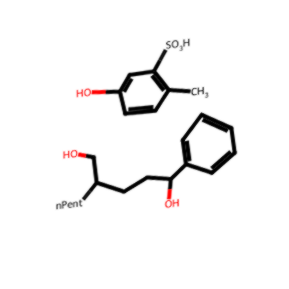 CCCCCC(CO)CCC(O)c1ccccc1.Cc1ccc(O)cc1S(=O)(=O)O